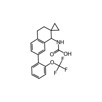 O=C(O)NC1c2cc(-c3ccccc3OC(F)(F)F)ccc2CCC12CC2